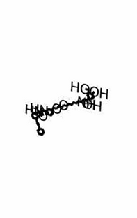 O=C(Nc1cccc(C#Cc2ccccc2)c1)Nc1cccc(COCCOCCCCCCNC[C@@H](O)c2ccc(O)c(CO)c2)c1